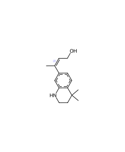 C/C(=C/CO)c1ccc2c(c1)NCCC2(C)C